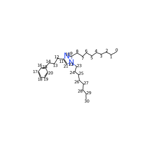 CCCCCCCCCc1nc(CCCc2ccccc2)cn1CCCCCCCC